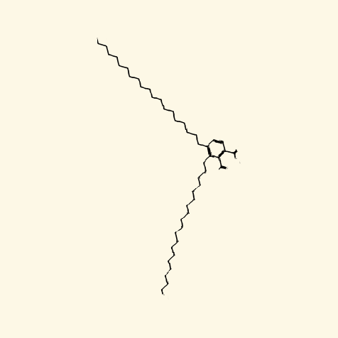 CCCCCCCCCCCCCCCCCCCCc1ccc(C(=O)O)c(C(=O)O)c1CCCCCCCCCCCCCCCCCCCC